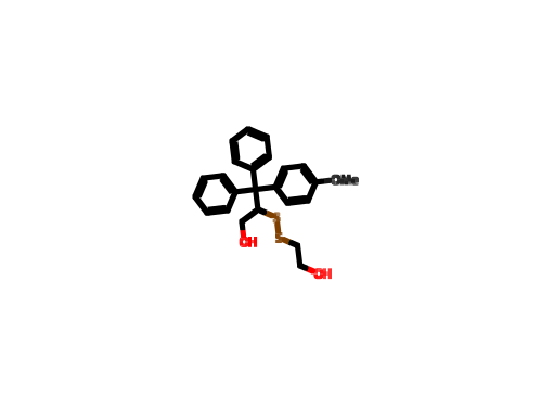 COc1ccc(C(c2ccccc2)(c2ccccc2)C(CO)SSCCO)cc1